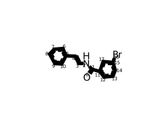 O=C(NC=Cc1ccccc1)c1cccc(Br)c1